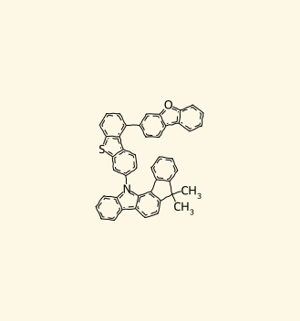 CC1(C)c2ccccc2-c2c1ccc1c3ccccc3n(-c3ccc4c(c3)sc3cccc(-c5ccc6c(c5)oc5ccccc56)c34)c21